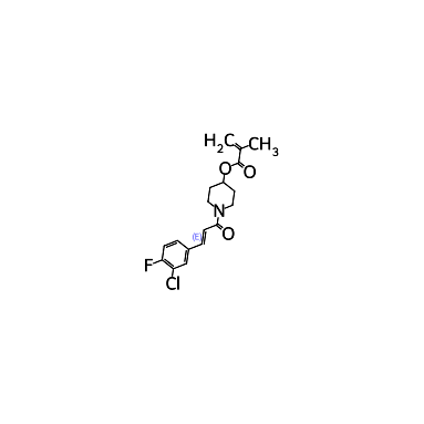 C=C(C)C(=O)OC1CCN(C(=O)/C=C/c2ccc(F)c(Cl)c2)CC1